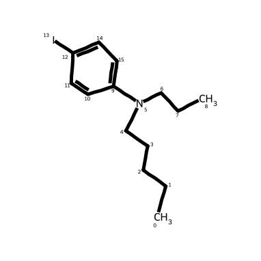 CCCCCN(CCC)c1ccc(I)cc1